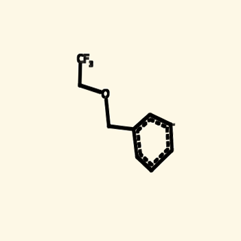 FC(F)(F)COCc1c[c]ccc1